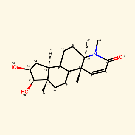 CN1C(=O)C=C[C@]2(C)C3CC[C@@]4(C)[C@@H](C[C@H](O)[C@@H]4O)C3CC[C@@H]12